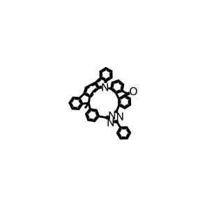 CC12c3cccc(c3)-c3nc(-c4ccccc4)nc(n3)-c3cccc4c3-c3c(cccc3-n3c5ccccc5c5cc(c1cc53)-c1ccccc12)C4=O